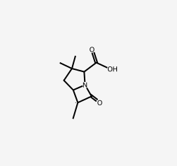 C[C]1C(=O)N2C1CC(C)(C)C2C(=O)O